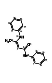 C/C(=C/C(=O)Nc1ccccc1)Nc1ccccc1